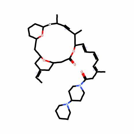 C/C=C1\CC2CC(=O)OC(/C=C/C=C\C=C(/C)CC(=O)N3CCC(N4CCCCC4)CC3)C(C)/C=C/C(C)CC3CCCC(CC(C1)O2)O3